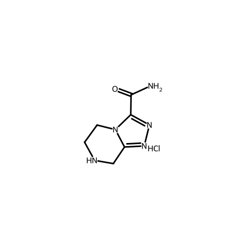 Cl.NC(=O)c1nnc2n1CCNC2